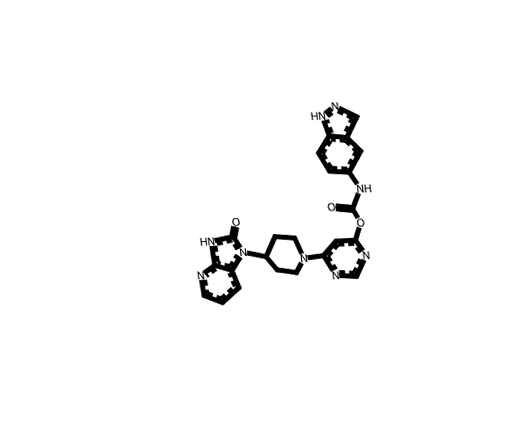 O=C(Nc1ccc2[nH]ncc2c1)Oc1cc(N2CCC(n3c(=O)[nH]c4ncccc43)CC2)ncn1